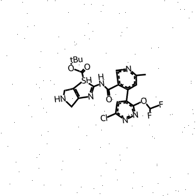 Cc1cc(-c2cc(Cl)nnc2OC(F)F)c(C(=O)NC2=NC3=C(CNC3)[SH]2C(=O)OC(C)(C)C)cn1